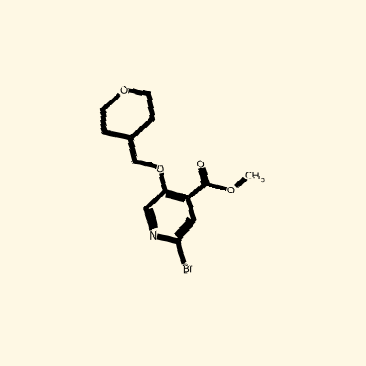 COC(=O)c1cc(Br)ncc1OCC1CCOCC1